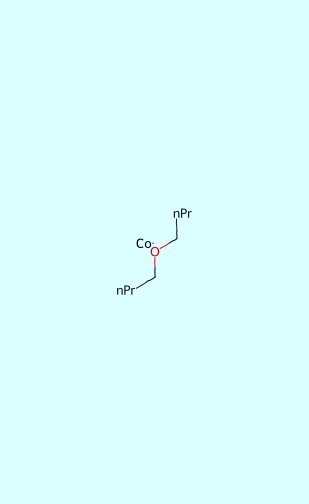 CCCCOCCCC.[Co]